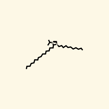 CCCCCCCCCCCCCCCC1N(CCCCCCCCCCC)C=CN1C(C)C